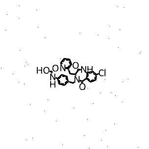 O=C(O)Nc1ccc(CN2C(=O)c3ccc(Cl)cc3NC(=O)C2Cc2ccccn2)cc1